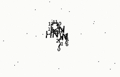 C=C/C=C(\N=C/C)c1nc2ccccc2[nH]1